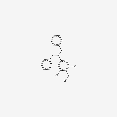 ClCc1c(Cl)cc(N(Cc2ccccc2)Cc2ccccc2)cc1Cl